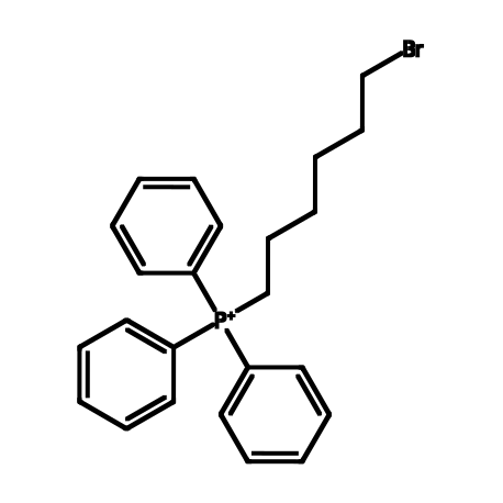 BrCCCCCC[P+](c1ccccc1)(c1ccccc1)c1ccccc1